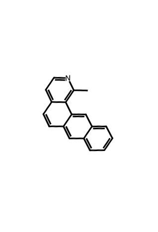 Cc1nccc2ccc3cc4ccccc4cc3c12